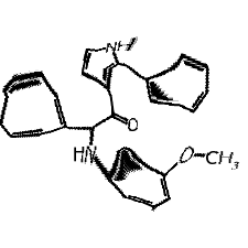 COc1cccc(NC(C(=O)c2cc[nH]c2-c2ccccc2)c2ccccc2)c1